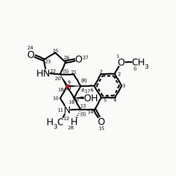 COc1ccc2c(c1)[C@]13CCN(C)[C@H](C2=O)[C@]1(O)CC[C@@]1(C3)NC(=O)CC1=O